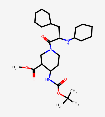 COC(=O)C1CN(C(=O)[C@@H](CC2CCCCC2)NC2CCCCC2)CCC1NC(=O)OC(C)(C)C